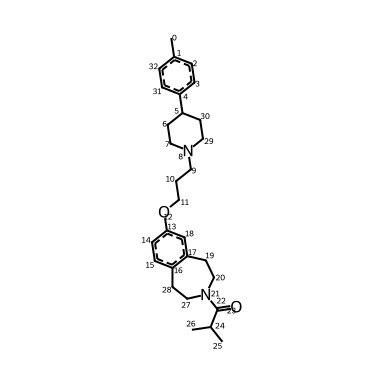 Cc1ccc(C2CCN(CCCOc3ccc4c(c3)CCN(C(=O)C(C)C)CC4)CC2)cc1